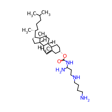 CC(C)CCC[C@@H](C)[C@H]1CC[C@H]2[C@@H]3CC=C4C[C@@H](OC(=O)NC(N)CCNCCCCN)CC[C@]4(C)[C@H]3CC[C@]12C